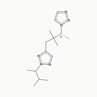 CC(C)C(C)n1ncc(CC(C)(C)[C@@H](C)n2ccnn2)n1